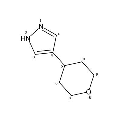 c1n[nH]cc1C1CCOCC1